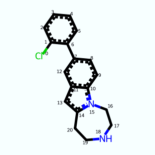 Clc1ccccc1-c1ccc2c(c1)cc1n2CCNCC1